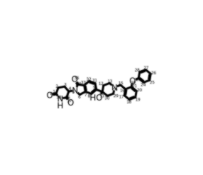 O=C1CCC(N2Cc3cc(C4(O)CCN(Cc5ccccc5Oc5ccccc5)CC4)ccc3C2=O)C(=O)N1